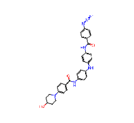 [N-]=[N+]=Nc1ccc(C(=O)Nc2ccc(Nc3ccc(NC(=O)c4ccc(N5CCC(O)CC5)cc4)cc3)cc2)cc1